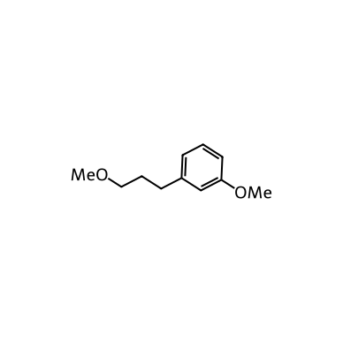 COCCCc1cccc(OC)c1